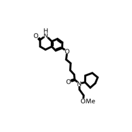 COCCN(C(=O)CCCCOc1ccc2c(c1)CCC(=O)N2)C1CCCCC1